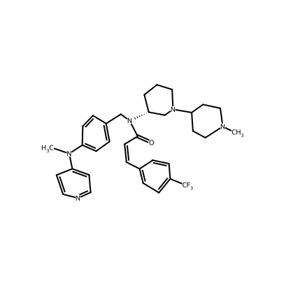 CN1CCC(N2CCC[C@@H](N(Cc3ccc(N(C)c4ccncc4)cc3)C(=O)C=Cc3ccc(C(F)(F)F)cc3)C2)CC1